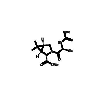 CNC(=O)N[C@H](C(=O)N1C[C@H]2[C@@H]([C@H]1C(=O)OC)C2(C)C)C(C)(C)C